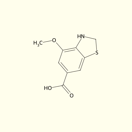 COc1cc(C(=O)O)cc2c1NCS2